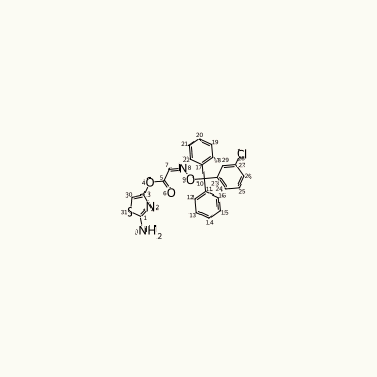 Nc1nc(OC(=O)/C=N\OC(c2ccccc2)(c2ccccc2)c2cccc(Cl)c2)cs1